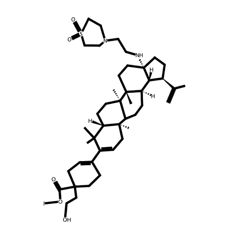 C=C(C)[C@@H]1CC[C@]2(NCCN3CCS(=O)(=O)CC3)CC[C@]3(C)[C@H](CCC4[C@@]5(C)CC=C(C6=CCC(CCO)(C(=O)OI)CC6)C(C)(C)[C@@H]5CC[C@]43C)[C@@H]12